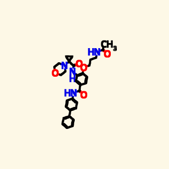 CC(=O)NCCCOc1ccc(C(=O)Nc2ccc(-c3ccccc3)cc2)cc1NC(=O)C1(N2CCOCC2)CC1